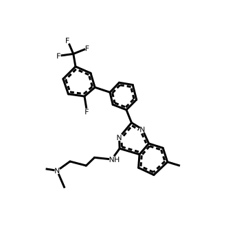 Cc1ccc2c(NCCCN(C)C)nc(-c3cccc(-c4cc(C(F)(F)F)ccc4F)c3)nc2c1